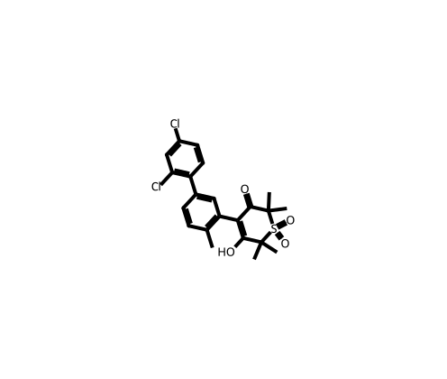 Cc1ccc(-c2ccc(Cl)cc2Cl)cc1C1=C(O)C(C)(C)S(=O)(=O)C(C)(C)C1=O